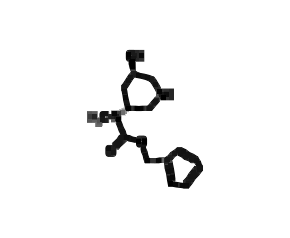 CN(C(=O)OCc1ccccc1)[C@H]1CNC[C@H](O)C1